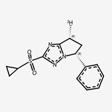 [2H][C@@H]1C[C@H](c2ccccc2)n2nc(S(=O)(=O)C3CC3)nc21